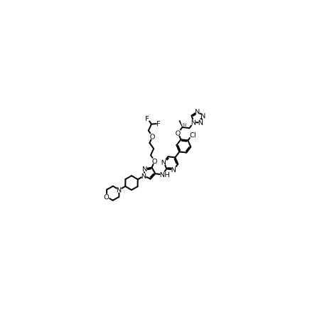 C[C@@H](Cn1cnnn1)Oc1cc(-c2cnc(Nc3cn(C4CCC(N5CCOCC5)CC4)nc3OCCCOCC(F)F)nc2)ccc1Cl